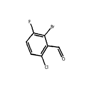 O=Cc1c(Cl)ccc(F)c1Br